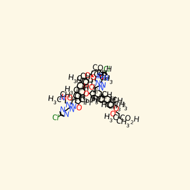 CC(C)C1=C2[C@H]3CC[C@@H]4[C@@]5(C)CC[C@H](OC(=O)CC(C)(Cc6nc(-c7nnc([C@H](O)[C@@]89CC[C@]%10(C)[C@H](CC[C@@H]%11[C@@]%12(C)CC[C@H](OC(=O)CC(C)(C)C(=O)O)C(C)(C)[C@@H]%12CC[C@]%11%10C)C8=C(C(C)C)C(=O)C9)n7CCN(C)C)ncc6Cl)C(=O)O)C(C)(C)[C@@H]5CC[C@@]4(C)[C@]3(C)CC[C@@]2(C(O)c2nnc(-c3ncc(Cl)cn3)n2CCN(C)C)CC1=O